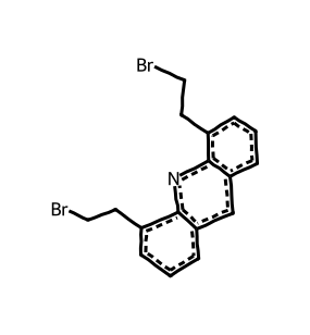 BrCCc1cccc2cc3cccc(CCBr)c3nc12